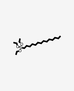 CCCCCCCCCCCCCC[Si](OCC)(OCC)OCC